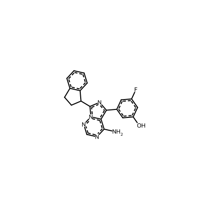 Nc1ncnn2c(C3CCc4ccccc43)nc(-c3cc(O)cc(F)c3)c12